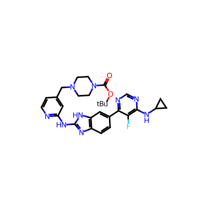 CC(C)(C)OC(=O)N1CCN(Cc2ccnc(Nc3nc4ccc(-c5ncnc(NC6CC6)c5F)cc4[nH]3)c2)CC1